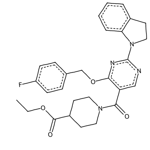 CCOC(=O)C1CCN(C(=O)c2cnc(N3CCc4ccccc43)nc2OCc2ccc(F)cc2)CC1